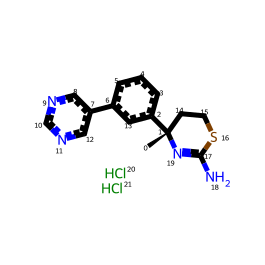 C[C@@]1(c2cccc(-c3cncnc3)c2)CCSC(N)=N1.Cl.Cl